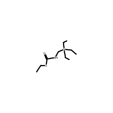 CCOC(=O)NC[Si](CC)(CC)CC